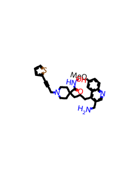 COc1ccc2ncc(CN)c(CCCC3(C(=O)NO)CCN(CC#Cc4cccs4)CC3)c2c1